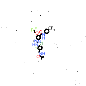 C=C(C)C(=O)NCc1ccc(Cl)c(Nc2nc3cc(C(=O)N[C@H]4CC[C@H](C(F)(F)F)CC4)c(OCC(F)F)cc3n2C)c1F